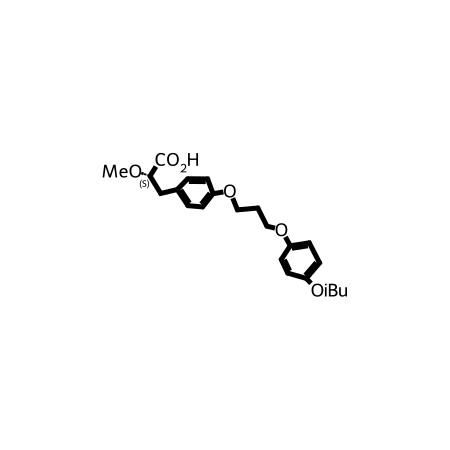 CO[C@@H](Cc1ccc(OCCCOc2ccc(OCC(C)C)cc2)cc1)C(=O)O